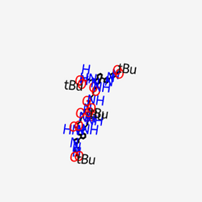 CC(C)(C)OC(=O)NCCCNc1nc(NC(=O)OCCCNC(=O)CCN(CCC(=O)NCCCOC(=O)Nc2cc3c(-c4ccnc(N5CCN(C(=O)OC(C)(C)C)CC5)c4)cccc3c(NCCCNC(=O)OC(C)(C)C)n2)C(=O)OC(C)(C)C)cc2c(-c3ccnc(N4CCN(C(=O)OC(C)(C)C)CC4)c3)cccc12